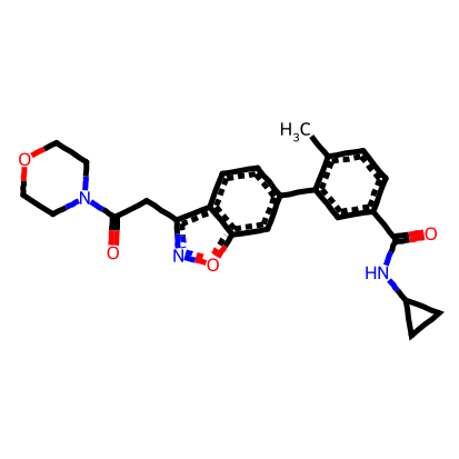 Cc1ccc(C(=O)NC2CC2)cc1-c1ccc2c(CC(=O)N3CCOCC3)noc2c1